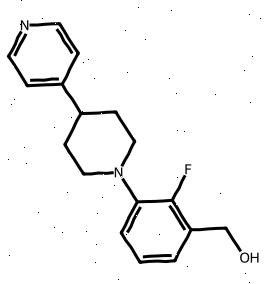 OCc1cccc(N2CCC(c3ccncc3)CC2)c1F